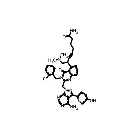 CN(C)CC(C#CCCCC(N)=O)c1cccc2nc(Cn3nc(-c4ccc(O)cc4)c4c(N)ncnc43)n(Cc3ccccc3Cl)c(=O)c12